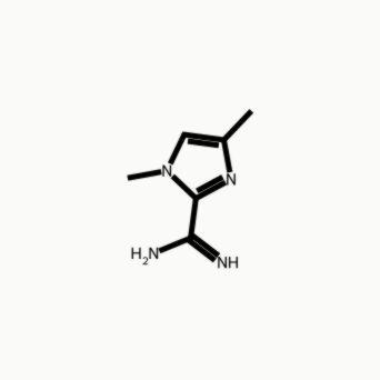 Cc1cn(C)c(C(=N)N)n1